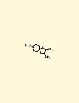 CC1SC2(CCN(C)CC2)CC1N